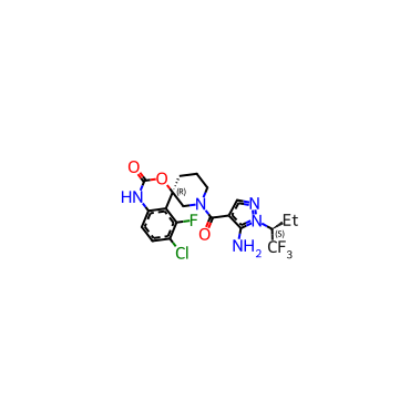 CC[C@H](n1ncc(C(=O)N2CCC[C@@]3(C2)OC(=O)Nc2ccc(Cl)c(F)c23)c1N)C(F)(F)F